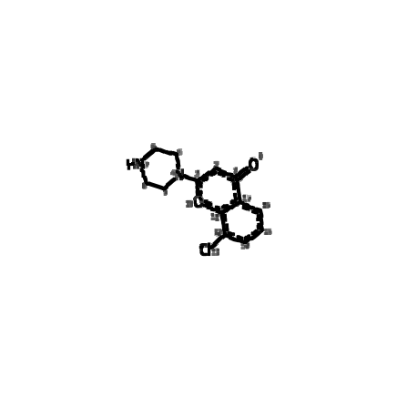 O=c1cc(N2CCNCC2)oc2c(Cl)cccc12